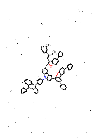 C=C/C=C(\C=C/C)C(/C=C)=C/c1c(Cc2ccc3c(c2)c2cc(-c4cc(-c5ccccc5)cc5c4OC4C=CC(c6ccccc6)=CC54)ccc2n3-c2ccc(-c3c4ccccc4c(-c4ccccc4)c4ccccc34)cc2)oc2ccc(-c3ccccc3)cc12